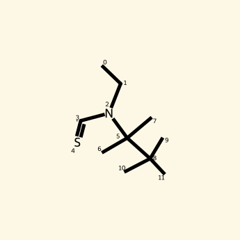 CCN([C]=S)C(C)(C)C(C)(C)C